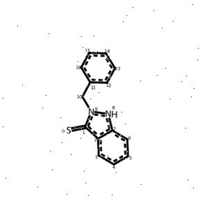 S=c1c2ccccc2[nH]n1Cc1ccccc1